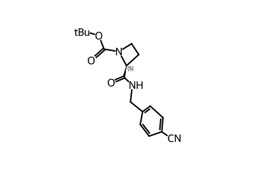 CC(C)(C)OC(=O)N1CC[C@H]1C(=O)NCc1ccc(C#N)cc1